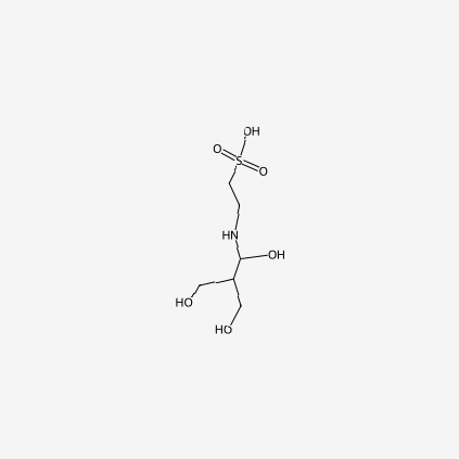 O=S(=O)(O)CCNC(O)C(CO)CO